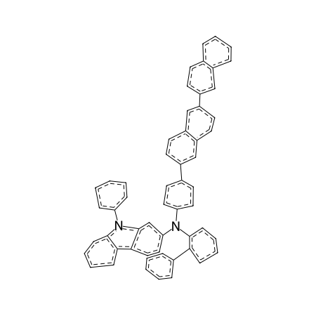 c1ccc(-c2ccccc2N(c2ccc(-c3ccc4cc(-c5ccc6ccccc6c5)ccc4c3)cc2)c2ccc3c4ccccc4n(-c4ccccc4)c3c2)cc1